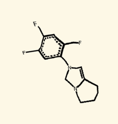 Fc1cc(F)c(N2C=C3CCCN3C2)cc1F